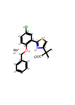 CC(C)(C(=O)[O-])c1csc(-c2cc(Br)ccc2OCc2ccccc2)n1.[Na+]